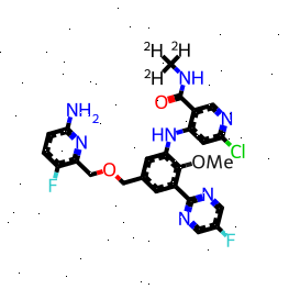 [2H]C([2H])([2H])NC(=O)c1cnc(Cl)cc1Nc1cc(COCc2nc(N)ccc2F)cc(-c2ncc(F)cn2)c1OC